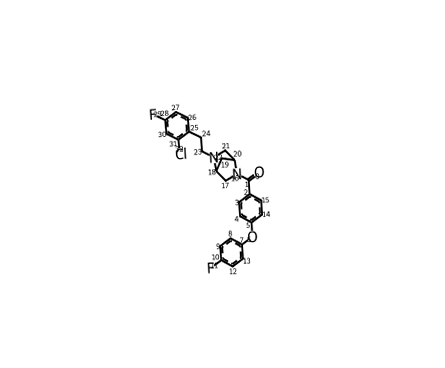 O=C(c1ccc(Oc2ccc(F)cc2)cc1)N1CC2CC1CN2CCc1ccc(F)cc1Cl